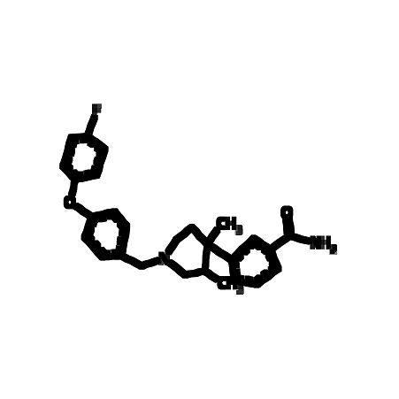 CC1CN(Cc2ccc(Oc3ccc(F)cc3)cc2)CCC1(C)c1cccc(C(N)=O)c1